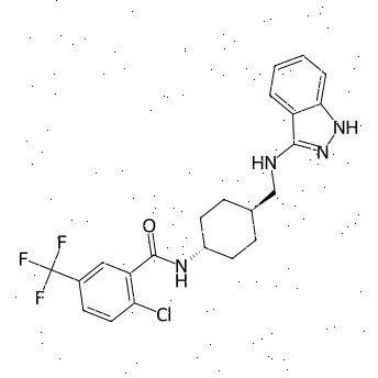 O=C(N[C@H]1CC[C@H](CNc2n[nH]c3ccccc23)CC1)c1cc(C(F)(F)F)ccc1Cl